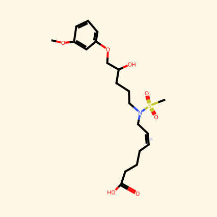 COc1cccc(OCC(O)CCCN(C/C=C\CCCC(=O)O)S(C)(=O)=O)c1